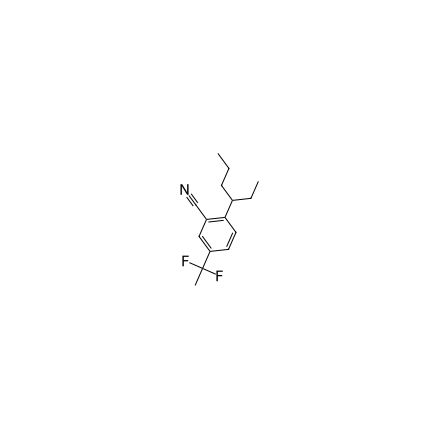 CCCC(CC)c1ccc(C(C)(F)F)cc1C#N